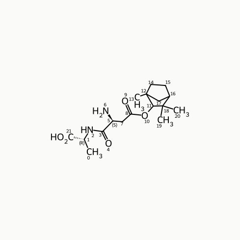 C[C@@H](NC(=O)[C@@H](N)CC(=O)OC1C2(C)CCC(C2)C1(C)C)C(=O)O